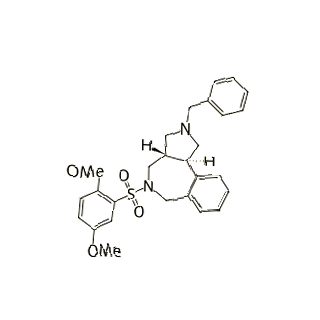 COc1ccc(OC)c(S(=O)(=O)N2Cc3ccccc3[C@@H]3CN(Cc4ccccc4)C[C@H]3C2)c1